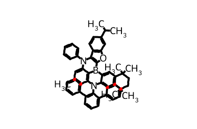 Cc1cc2c3c(c1)N(c1ccccc1)c1c(oc4cc(C(C)C)ccc14)B3c1cc3c(cc1N2c1c(-c2ccccc2)cccc1-c1ccccc1)C(C)(C)CCC3(C)C